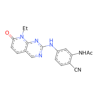 CCn1c(=O)ccc2cnc(Nc3ccc(C#N)c(NC(C)=O)c3)nc21